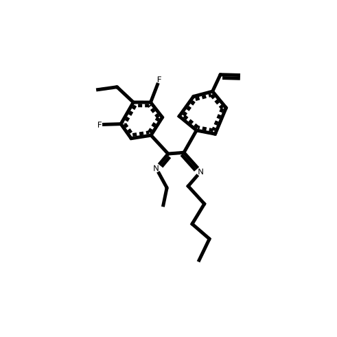 C=Cc1ccc(C(=N/CCCCC)/C(=N\CC)c2cc(F)c(CC)c(F)c2)cc1